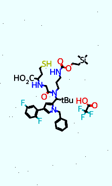 CC(C)(C)C(c1cc(-c2cc(F)ccc2F)cn1Cc1ccccc1)N(CCCNC(=O)OCC[Si](C)(C)C)C(=O)CNC(CCS)C(=O)O.O=C(O)C(F)(F)F